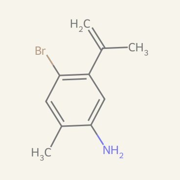 C=C(C)c1cc(N)c(C)cc1Br